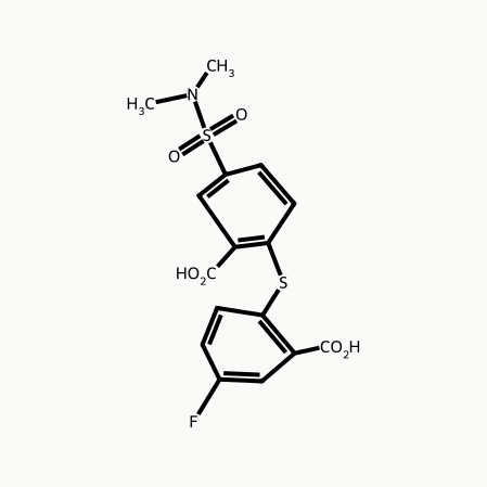 CN(C)S(=O)(=O)c1ccc(Sc2ccc(F)cc2C(=O)O)c(C(=O)O)c1